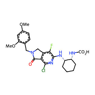 COc1ccc(CN2Cc3c(F)c(N[C@H]4CCCC[C@H]4NC(=O)O)nc(Cl)c3C2=O)c(OC)c1